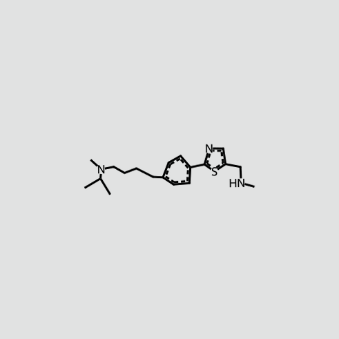 CNCc1cnc(-c2ccc(CCCCN(C)C(C)C)cc2)s1